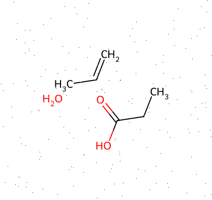 C=CC.CCC(=O)O.O